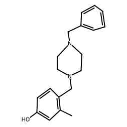 Cc1cc(O)ccc1CN1CCN(Cc2ccccc2)CC1